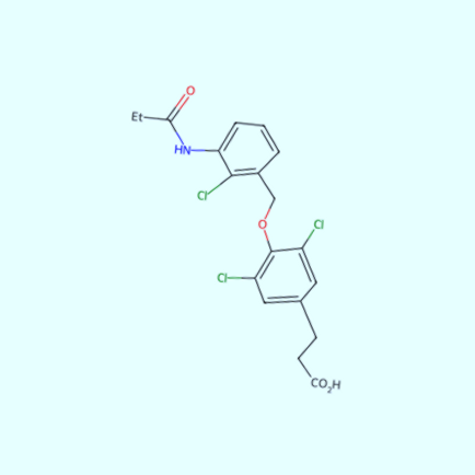 CCC(=O)Nc1cccc(COc2c(Cl)cc(CCC(=O)O)cc2Cl)c1Cl